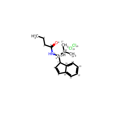 CCCC(=O)[NH][Zr+2]([CH]1C=Cc2ccccc21)[SiH](C)C.[Cl-].[Cl-]